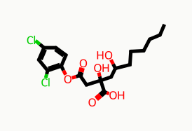 CCCCCCC(O)CC(O)(CC(=O)Oc1ccc(Cl)cc1Cl)C(=O)O